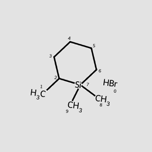 Br.CC1CCCC[Si]1(C)C